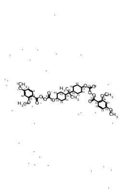 COc1ccc(C(=O)OOC(=O)OC2CCC(C(C)(C)C3CCC(OC(=O)OOC(=O)c4ccc(OC)cc4OC)CC3)CC2)c(OC)c1